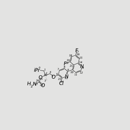 CC(C)C[C@@](C)(COc1ccc(-c2ccnc3cc(F)cc(F)c23)nc1Cl)OC(N)=O